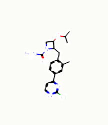 Cc1cc(-c2ccnc(Cl)n2)ccc1CC1C(OC(C)C)CN1C(N)=O